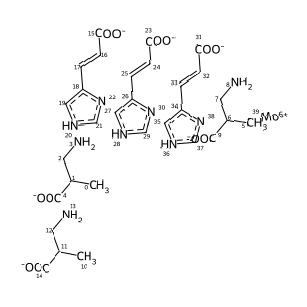 CC(CN)C(=O)[O-].CC(CN)C(=O)[O-].CC(CN)C(=O)[O-].O=C([O-])C=Cc1c[nH]cn1.O=C([O-])C=Cc1c[nH]cn1.O=C([O-])C=Cc1c[nH]cn1.[Mo+6]